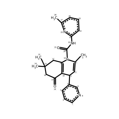 CC1=[C]C(c2cccnc2)C2=C(CC(C)(C)CC2=O)N1C(=O)Nc1cccc(C)n1